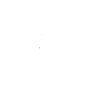 COC(=O)C1(C(N)=O)CCCC1c1cn(C)c2ccc(C#N)cc12